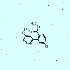 COC(=O)c1ccc(Cl)cc1-c1cc(OC)ncn1